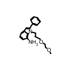 COCCOCCCn1c(-c2ccccc2)cc2cccc(N)c21